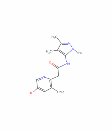 COc1cc(O)cnc1CC(=O)Nc1c(C)c(C)nn1C(C)(C)C